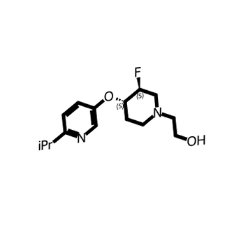 CC(C)c1ccc(O[C@H]2CCN(CCO)C[C@@H]2F)cn1